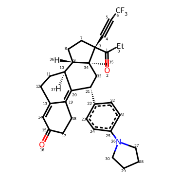 CCC(=O)[C@@]1(C#CC(F)(F)F)CC[C@H]2[C@@H]3CCC4=CC(=O)CCC4=C3[C@@H](c3ccc(N4CCCC4)cc3)C[C@@]21C